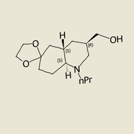 CCCN1C[C@H](CO)C[C@H]2CC3(CC[C@@H]21)OCCO3